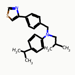 CC(C)CN(Cc1ccc(-c2cs[c]n2)cc1)c1ccc(C(C)C)cc1